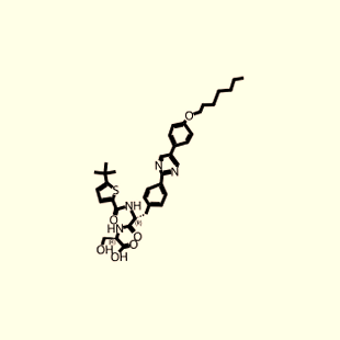 CCCCCCCOc1ccc(-c2cnc(-c3ccc(C[C@@H](NC(=O)c4ccc(C(C)(C)C)s4)C(=O)N[C@H](CO)C(=O)O)cc3)nc2)cc1